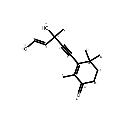 CC1=C(C#CC(C)(O)C=CO)C(C)(C)CCC1=O